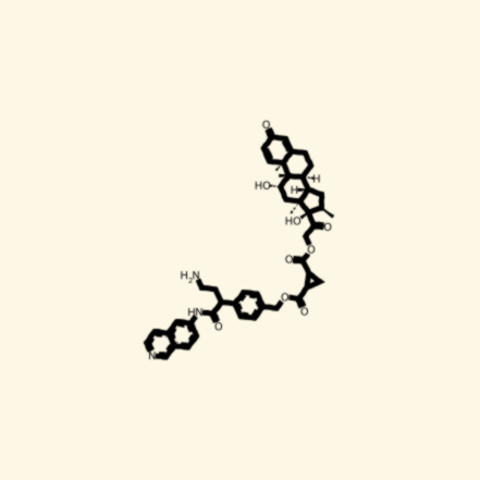 C[C@@H]1C[C@H]2[C@@H]3CCC4=CC(=O)C=C[C@]4(C)[C@@]3(C)[C@@H](O)C[C@]2(C)[C@@]1(O)C(=O)COC(=O)C1CC1C(=O)OCc1ccc(C(CCN)C(=O)Nc2ccc3cnccc3c2)cc1